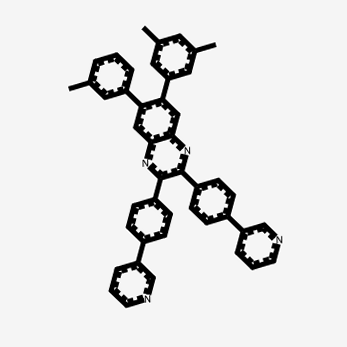 Cc1cccc(-c2cc3nc(-c4ccc(-c5cccnc5)cc4)c(-c4ccc(-c5cccnc5)cc4)nc3cc2-c2cc(C)cc(C)c2)c1